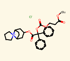 CC(C)(C)OC(=O)CCOC(=O)OC(C(=O)OC1CC2CCC(C1)[N+]21CCCC1)(c1ccccc1)c1ccccc1.[Cl-]